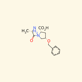 C[C@H](N)C(=O)N1C[C@@H](OCc2ccccc2)C[C@H]1C(=O)O